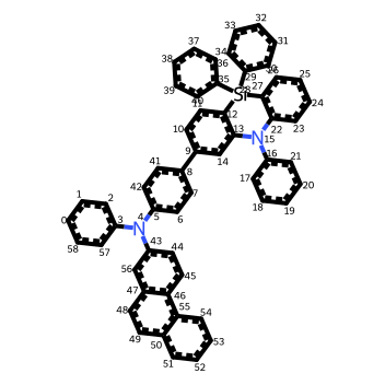 c1ccc(N(c2ccc(-c3ccc4c(c3)N(c3ccccc3)c3ccccc3[Si]4(c3ccccc3)c3ccccc3)cc2)c2ccc3c(ccc4ccccc43)c2)cc1